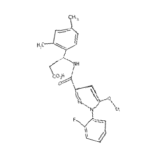 CCOc1cc(C(=O)NC(CC(=O)O)c2ccc(C)cc2C)nn1-c1ccccc1F